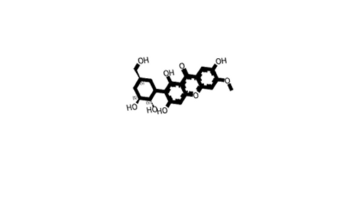 COc1cc2oc3cc(O)c(C4C[C@H](CO)C[C@H](O)[C@H]4O)c(O)c3c(=O)c2cc1O